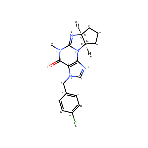 CN1C(=O)c2c(ncn2Cc2ccc(Cl)cc2)N2C1=N[C@H]1CCC[C@H]12